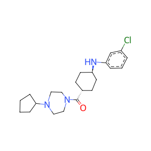 O=C([C@H]1CC[C@H](Nc2cccc(Cl)c2)CC1)N1CCN(C2CCCC2)CC1